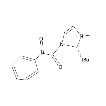 CN1C=CN(C(=O)C(=O)c2ccccc2)[C@H]1C(C)(C)C